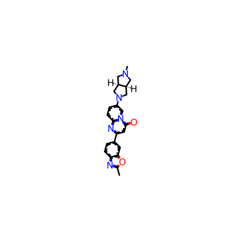 Cc1nc2ccc(-c3cc(=O)n4cc(N5C[C@H]6CN(C)C[C@H]6C5)ccc4n3)cc2o1